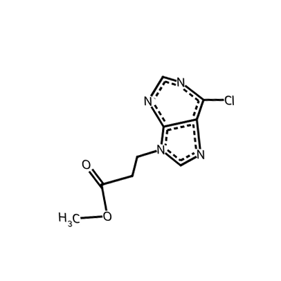 COC(=O)CCn1cnc2c(Cl)ncnc21